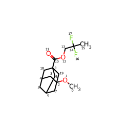 COC12CC3CC(C1)CC(C(=O)OCC(C)(F)F)(C3)C2